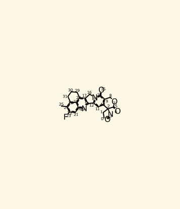 CCC1(N=O)C(=O)OCc2c1cc1n(c2=O)Cc2c-1nc1cc(F)c(C)c3c1c2CCC3